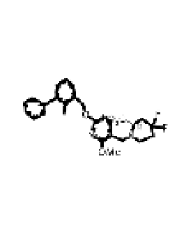 COc1nc(OCc2cccc(-c3ccccc3)c2C)ncc1CN1CCC(F)(F)C[C@H]1C(=O)O